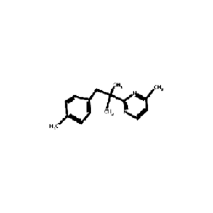 Cc1ccc(CC(C)(C)c2nccc(C)n2)cc1